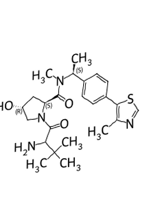 Cc1ncsc1-c1ccc([C@H](C)N(C)C(=O)[C@@H]2C[C@@H](O)CN2C(=O)C(N)C(C)(C)C)cc1